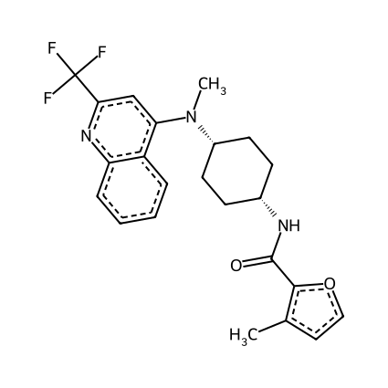 Cc1ccoc1C(=O)N[C@H]1CC[C@@H](N(C)c2cc(C(F)(F)F)nc3ccccc23)CC1